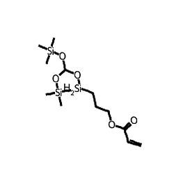 C=CC(=O)OCCC[SiH2]OC(O[Si](C)(C)C)O[Si](C)(C)C